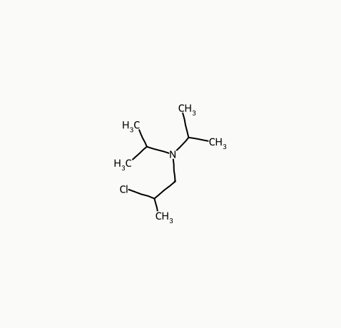 CC(Cl)CN(C(C)C)C(C)C